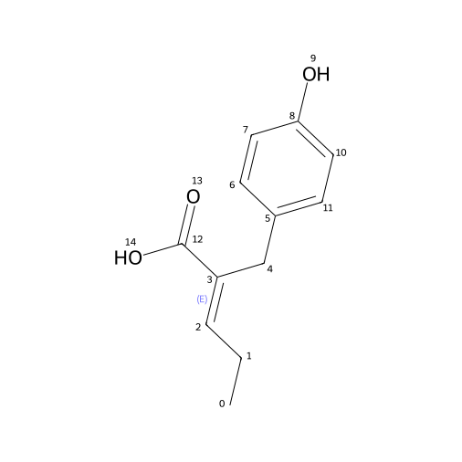 CC/C=C(\Cc1ccc(O)cc1)C(=O)O